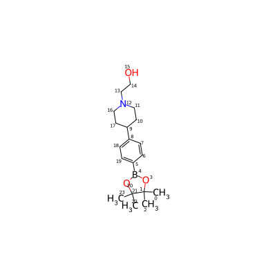 CC1(C)OB(c2ccc(C3CCN(CCO)CC3)cc2)OC1(C)C